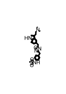 CN(C)CCc1c[nH]c2ccc(Cc3nc(Cc4ccc(NS(C)(=O)=O)cc4)no3)cc12